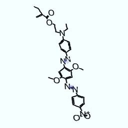 C=C(CC)C(=O)OCCN(CC)c1ccc(/N=N/c2cc(OC)c(/N=N/c3ccc([N+](=O)[O-])cc3)cc2OC)cc1